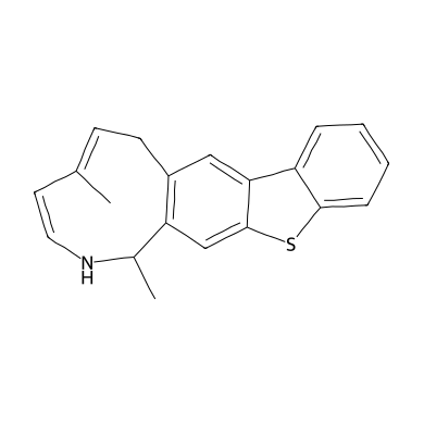 CC1=C\Cc2cc3c(cc2C(C)N/C=C\1)sc1ccccc13